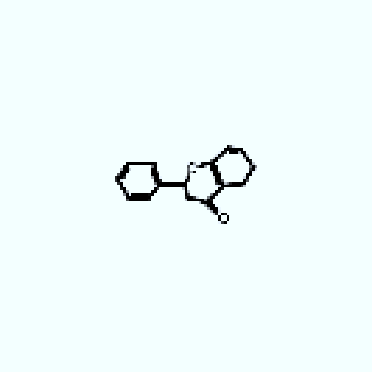 O=C1CC(c2ccccc2)OC2=C1CCC=C2